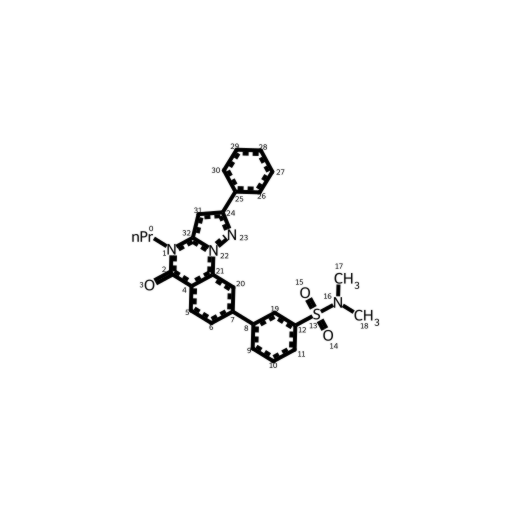 CCCn1c(=O)c2ccc(-c3cccc(S(=O)(=O)N(C)C)c3)cc2n2nc(-c3ccccc3)cc12